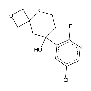 OC1(c2cc(Cl)cnc2F)CCSC2(COC2)C1